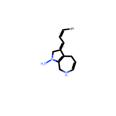 CCC/C=C\C=C1/CN(N)C2=C1CC=CNC2